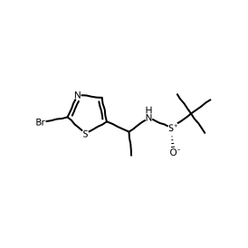 CC(N[S@@+]([O-])C(C)(C)C)c1cnc(Br)s1